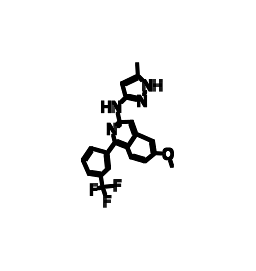 COc1ccc2c(-c3cccc(C(F)(F)F)c3)nc(Nc3cc(C)[nH]n3)cc2c1